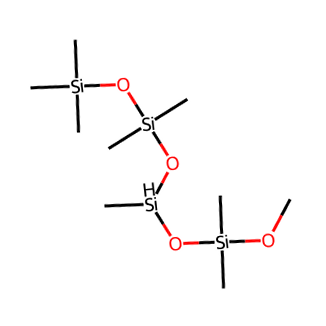 CO[Si](C)(C)O[SiH](C)O[Si](C)(C)O[Si](C)(C)C